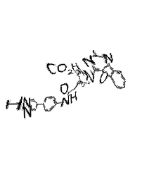 Cc1nc(N2C[C@@H](CC(=O)Nc3ccc(-c4cn[nH]c4)cc3)C[C@H]2C(=O)O)c2oc3ccccc3c2n1